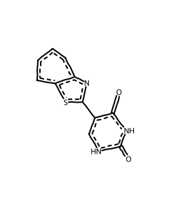 O=c1[nH]cc(-c2nc3ccccc3s2)c(=O)[nH]1